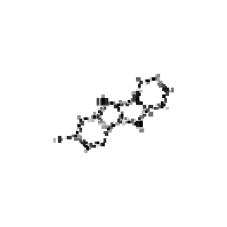 Ic1ccc2c(c1)[nH]c1c2nc2ccccn21